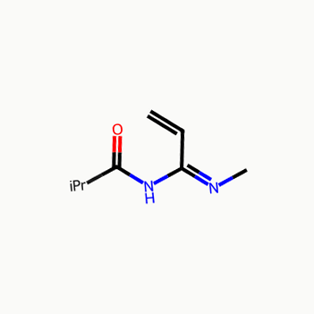 C=C/C(=N\C)NC(=O)C(C)C